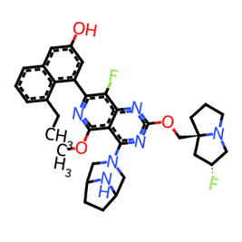 CCc1cccc2cc(O)cc(-c3nc(OC)c4c(N5CC6CCC(C5)N6)nc(OC[C@@]56CCCN5C[C@H](F)C6)nc4c3F)c12